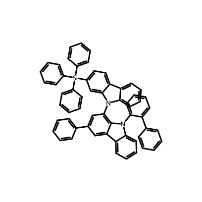 c1ccc(-c2cc(-n3c4ccccc4c4ccc([Si](c5ccccc5)(c5ccccc5)c5ccccc5)cc43)c3c(c2)c2ccccc2n3-c2ccccc2-c2ccccc2)cc1